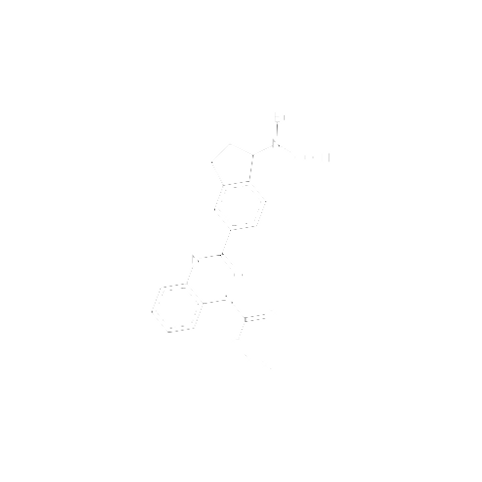 CCN(C(=O)O)C1CCc2cc(C(=O)Nc3ccccc3NC(=O)OC(C)(C)C)ccc21